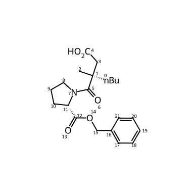 CCCC[C@](C)(CC(=O)O)C(=O)N1CCC[C@H]1C(=O)OCc1ccccc1